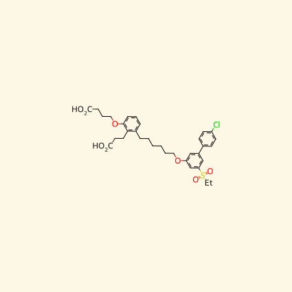 CCS(=O)(=O)c1cc(OCCCCCCc2cccc(OCCCC(=O)O)c2CCC(=O)O)cc(-c2ccc(Cl)cc2)c1